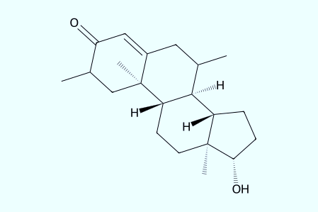 CC1C[C@@]2(C)C(=CC1=O)CC(C)[C@H]1[C@@H]3CC[C@H](O)[C@@]3(C)CC[C@@H]12